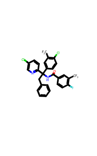 O=C(NC(Cc1ccccc1)(c1ccc(Cl)c(C(F)(F)F)c1)c1ccc(Cl)cn1)c1ccc(F)c(C(F)(F)F)c1